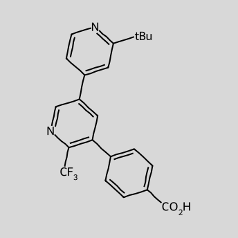 CC(C)(C)c1cc(-c2cnc(C(F)(F)F)c(-c3ccc(C(=O)O)cc3)c2)ccn1